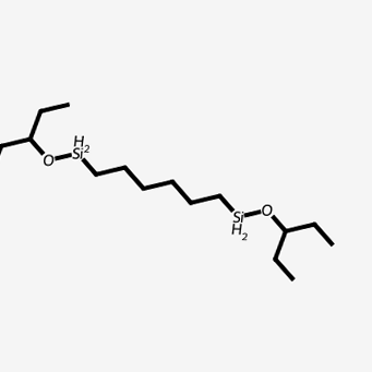 CCC(CC)O[SiH2]CCCCCC[SiH2]OC(CC)CC